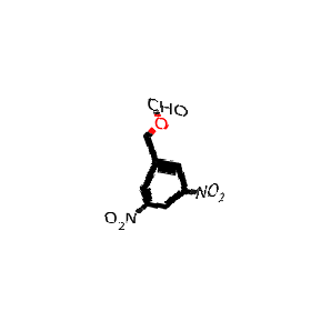 O=COCc1cc([N+](=O)[O-])cc([N+](=O)[O-])c1